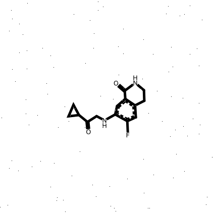 O=C1NCCc2cc(F)c(NCC(=O)C3CC3)cc21